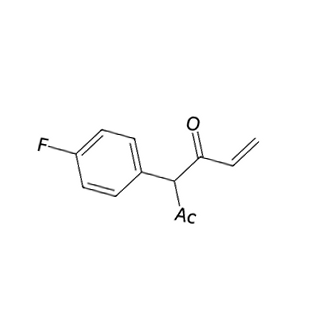 C=CC(=O)C(C(C)=O)c1ccc(F)cc1